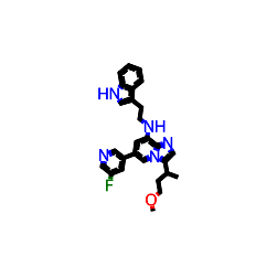 COCCC(C)c1cnc2c(NCCc3c[nH]c4ccccc34)cc(-c3cncc(F)c3)cn12